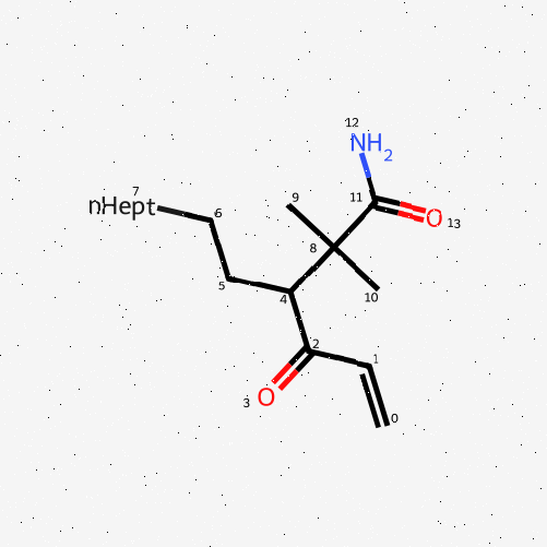 C=CC(=O)C(CCCCCCCCC)C(C)(C)C(N)=O